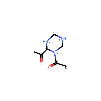 CC(=O)C1NCNCN1C(C)=O